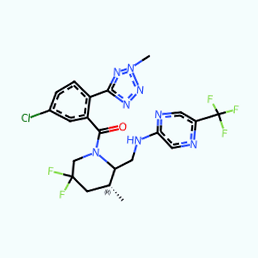 C[C@@H]1CC(F)(F)CN(C(=O)c2cc(Cl)ccc2-c2nnn(C)n2)C1CNc1cnc(C(F)(F)F)cn1